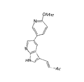 COc1ccc(-c2cnc3[nH]cc(/C=C/C(C)=O)c3c2)cn1